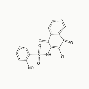 O=Nc1ccccc1S(=O)(=O)NC1=C(Cl)C(=O)c2ccccc2C1=O